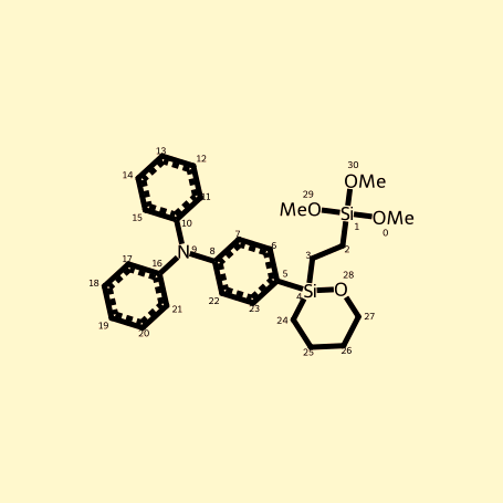 CO[Si](CC[Si]1(c2ccc(N(c3ccccc3)c3ccccc3)cc2)CCCCO1)(OC)OC